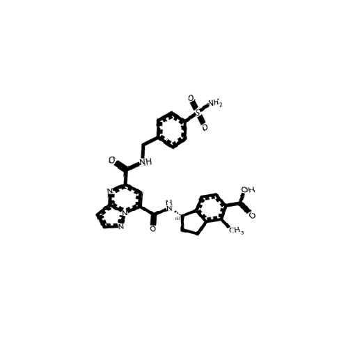 Cc1c(C(=O)O)ccc2c1CC[C@@H]2NC(=O)c1cc(C(=O)NCc2ccc(S(N)(=O)=O)cc2)nc2ccnn12